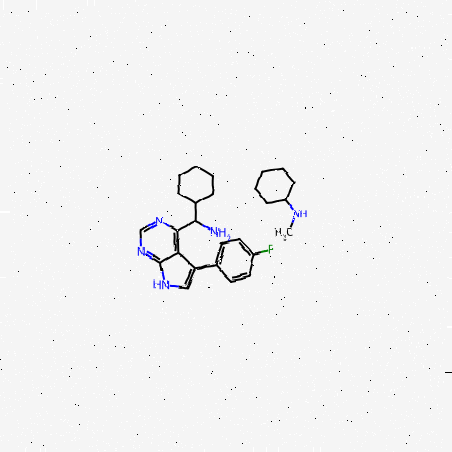 CNC1CCCCC1.NC(c1ncnc2[nH]cc(-c3ccc(F)cc3)c12)C1CCCCC1